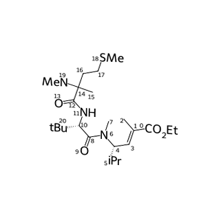 CCOC(=O)/C(C)=C/[C@H](C(C)C)N(C)C(=O)[C@@H](NC(=O)C(C)(CCSC)NC)C(C)(C)C